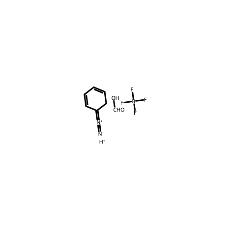 F[B-](F)(F)F.O=CO.[H+].[N-]=[N+]=C1C=CC=CC1